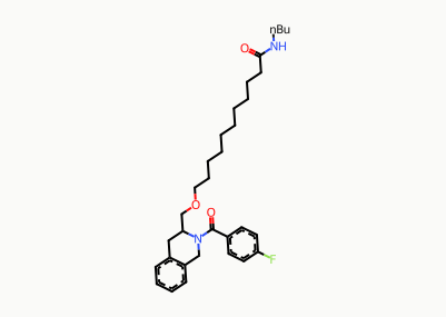 CCCCNC(=O)CCCCCCCCCCOCC1Cc2ccccc2CN1C(=O)c1ccc(F)cc1